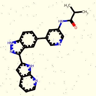 CC(C)C(=O)Nc1cncc(-c2ccc3[nH]nc(-c4cc5cccnc5[nH]4)c3c2)c1